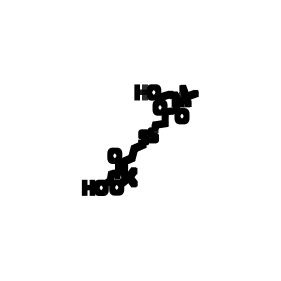 CC(C)(C)N(CC(=O)O)C(=O)CCCSSCCCC(=O)N(CC(=O)O)C(C)(C)C